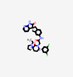 CCN1CCC[C@]12CC[C@@H](c1cc(F)cc(F)c1)N(CC(=O)Nc1ccc3c(c1)C[C@@]1(C3)C(=O)Nc3ncccc31)C2=O